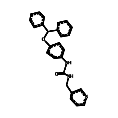 O=C(NCc1cccnc1)Nc1ccc(OC(c2ccccc2)c2ccccc2)cc1